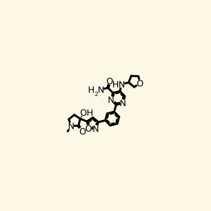 CN1CC[C@@](O)(c2cc(-c3cccc(-c4ncc(NC5CCOC5)c(C(N)=O)n4)c3)no2)C1=O